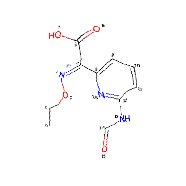 CCO/N=C(/C(=O)O)c1cccc(NC=O)n1